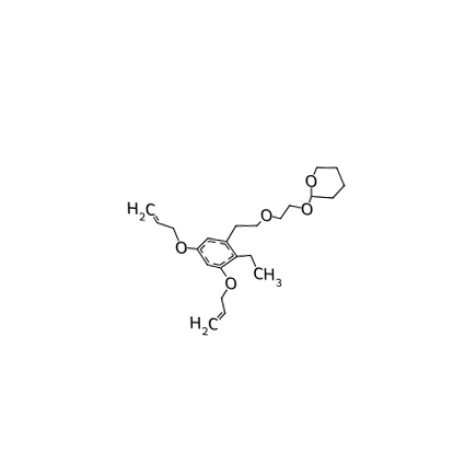 C=CCOc1cc(CCOCCOC2CCCCO2)c(CC)c(OCC=C)c1